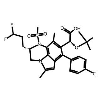 Cc1c([C@H](OC(C)(C)C)C(=O)O)c(-c2ccc(Cl)cc2)c2cc(C)n3c2c1N(S(C)(=O)=O)[C@@H](CCC(F)F)C3